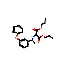 CCCOC(=O)C(N=C(C)c1cccc(Oc2ccccc2)c1)C(=O)OCCC